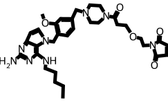 CCCCCNc1nc(N)nc2ccn(Cc3ccc(CN4CCN(C(=O)CCOCCN5C(=O)C=CC5=O)CC4)cc3OC)c12